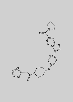 O=C(Cc1ccco1)N1CCC(Oc2ccc(-n3ccc4cc(C(=O)N5CCCC5)ccc43)nc2)CC1